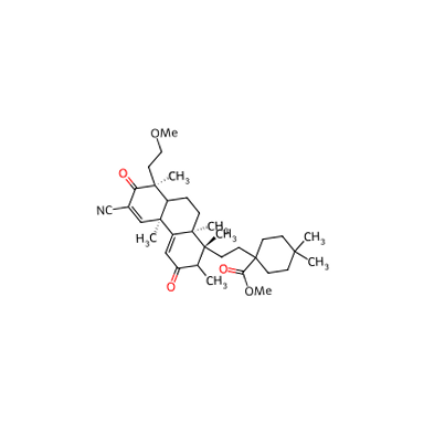 COCC[C@]1(C)C(=O)C(C#N)=C[C@]2(C)C3=CC(=O)C(C)[C@@](C)(CCC4(C(=O)OC)CCC(C)(C)CC4)[C@]3(C)CCC21